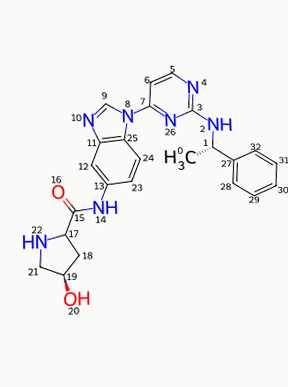 C[C@H](Nc1nccc(-n2cnc3cc(NC(=O)C4C[C@@H](O)CN4)ccc32)n1)c1ccccc1